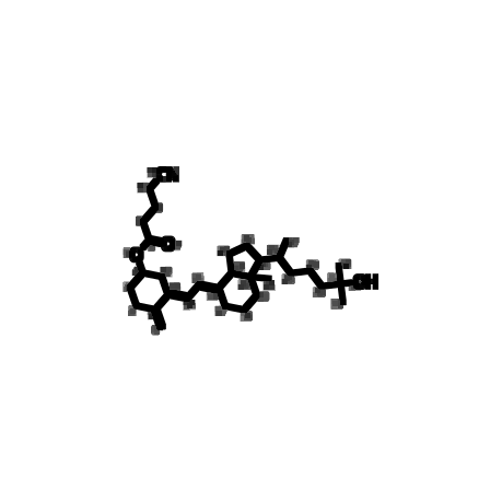 C=C1CCC(OC(=O)CCCC#N)CC1=CC=C1CCCC2(C)C1CCC2C(C)CCCC(C)(C)O